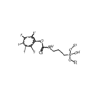 CCO[Si](O)(CCCNC(=O)Oc1c(F)c(F)c(F)c(F)c1F)OCC